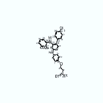 CCN(CC)CCOc1ccc(Nc2ncc(-c3ccc(C(F)(F)F)cc3)c(Nc3ccccc3OC)n2)cc1